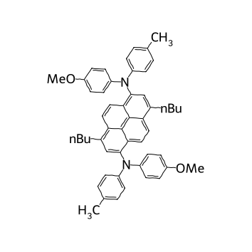 CCCCc1cc(N(c2ccc(C)cc2)c2ccc(OC)cc2)c2ccc3c(CCCC)cc(N(c4ccc(C)cc4)c4ccc(OC)cc4)c4ccc1c2c34